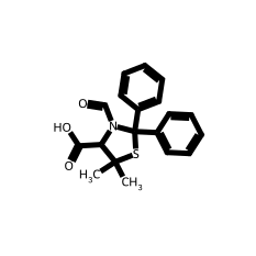 CC1(C)SC(c2ccccc2)(c2ccccc2)N(C=O)C1C(=O)O